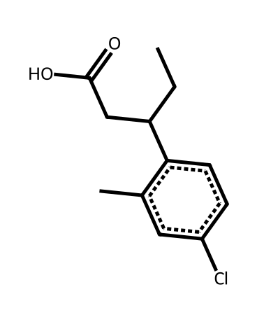 CCC(CC(=O)O)c1ccc(Cl)cc1C